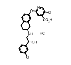 Cl.O=C(O)c1cc(Oc2ccc3c(c2)C[C@@H](NC[C@H](O)c2cccc(Cl)c2)CC3)ncc1Cl